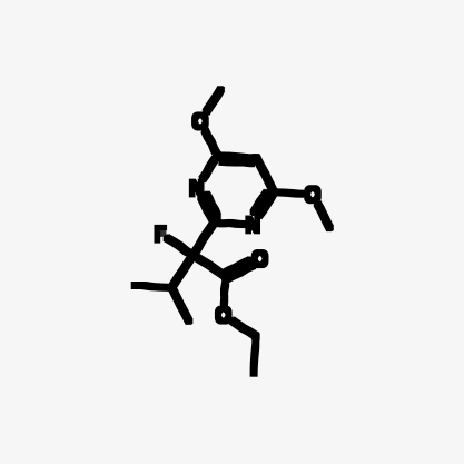 CCOC(=O)C(F)(c1nc(OC)cc(OC)n1)C(C)C